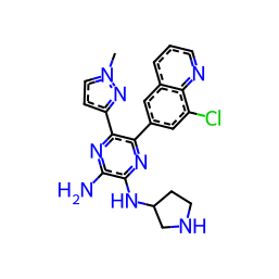 Cn1ccc(-c2nc(N)c(NC3CCNC3)nc2-c2cc(Cl)c3ncccc3c2)n1